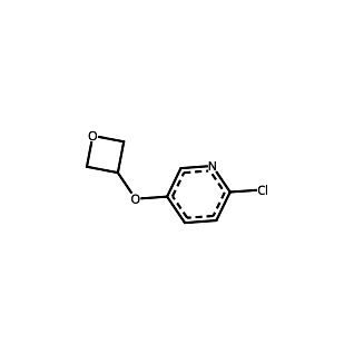 Clc1ccc(OC2COC2)cn1